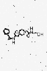 O=C(CN1CCC2(CC1)CC(NC1CC1c1ccccc1)CO2)NCCO